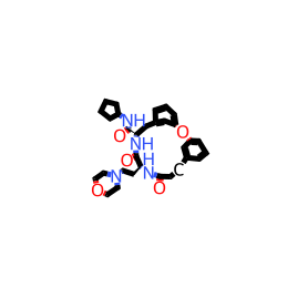 O=C1CCc2cccc(c2)Oc2cccc(c2)C[C@@H](C(=O)NC2CCCC2)NC(=O)[C@H](CCN2CCOCC2)N1